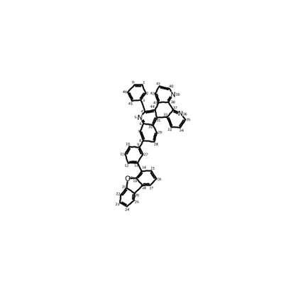 c1ccc(-c2nc3cc(-c4cccc(-c5cccc6c5oc5ccccc56)c4)ccc3c3c4cccnc4c4ncccc4c23)cc1